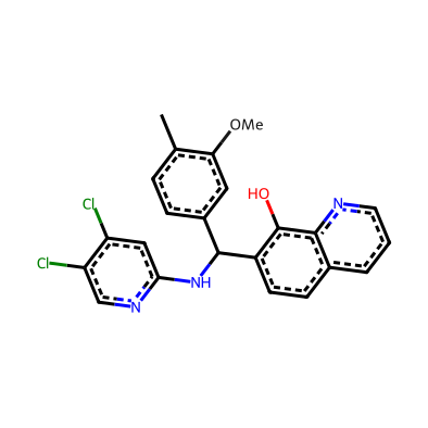 COc1cc(C(Nc2cc(Cl)c(Cl)cn2)c2ccc3cccnc3c2O)ccc1C